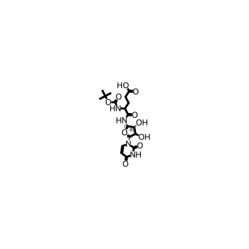 CC(C)(C)OC(=O)NC(CCC(=O)O)C(=O)N[C@H]1O[C@@H](n2ccc(=O)[nH]c2=O)C(O)[C@H]1O